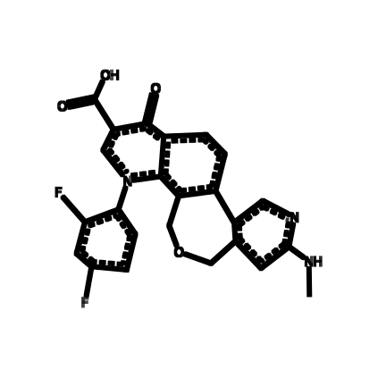 CNc1cc2c(cn1)-c1ccc3c(=O)c(C(=O)O)cn(-c4ccc(F)cc4F)c3c1COC2